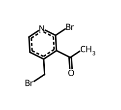 CC(=O)c1c(CBr)ccnc1Br